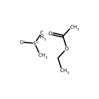 CCOC(C)=O.C[S+](C)[O-]